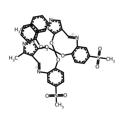 Cc1ccccc1-n1ncc2c1OC1(Oc3ccc(S(C)(=O)=O)cc3/N=C/2)Oc2ccc(S(C)(=O)=O)cc2/N=C/c2c(C)nn(-c3ccccc3C)c2O1